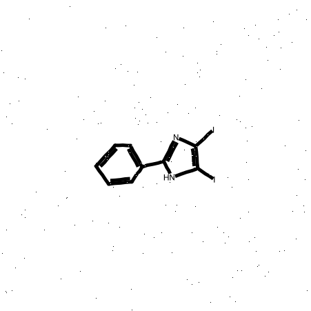 Ic1nc(-c2ccccc2)[nH]c1I